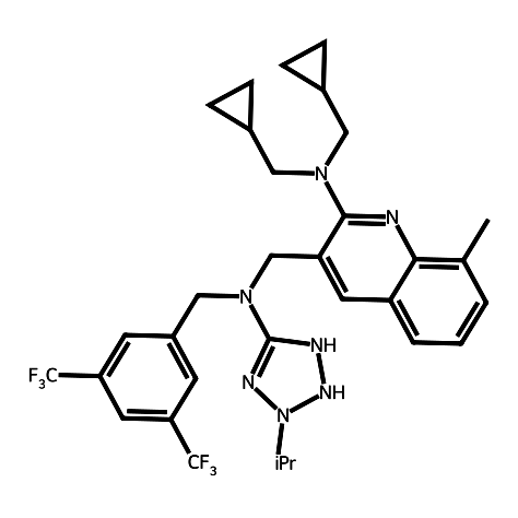 Cc1cccc2cc(CN(Cc3cc(C(F)(F)F)cc(C(F)(F)F)c3)C3=NN(C(C)C)NN3)c(N(CC3CC3)CC3CC3)nc12